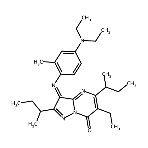 CCc1c(C(C)CC)nc2n(c1=O)N=C(C(C)CC)C2=Nc1ccc(N(CC)CC)cc1C